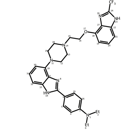 CCN(CC)c1ccc(-c2nc3c(N4CCN(CCOc5cccc6[nH]c(C(F)(F)F)nc56)CC4)cccc3[nH]2)cc1